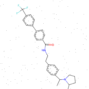 CC1CCCN1C(C)c1ccc(CCNC(=O)c2ccc(-c3ccc(C(F)(F)F)cc3)cc2)cc1